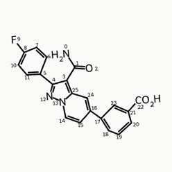 NC(=O)c1c(-c2ccc(F)cc2)nn2ccc(-c3cccc(C(=O)O)c3)cc12